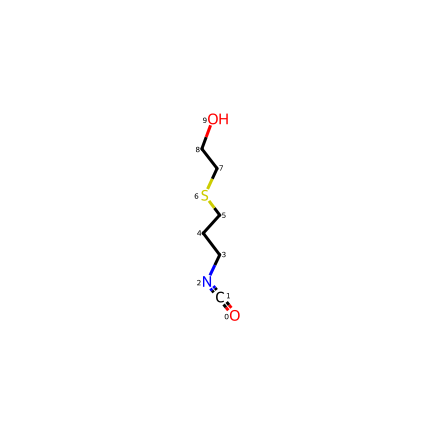 O=C=NCCCSCCO